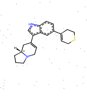 C1=C(c2ccc3[nH]cc(C4=CCN5CCC[C@@H]5C4)c3c2)CCSC1